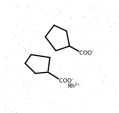 O=C([O-])C1CCCC1.O=C([O-])C1CCCC1.[Rh+2]